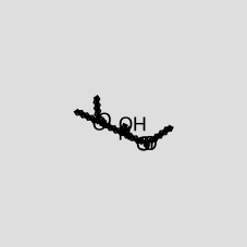 CCCCCCCCCO[Si](C)(C)OCCCCCCN(CCO)CCCCCCCC(=O)OC(CCCCCCCC)CCCCCCCC